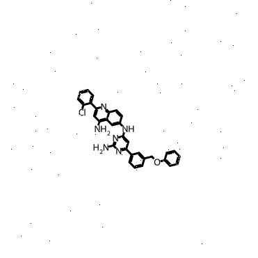 Nc1nc(Nc2ccc3nc(-c4ccccc4Cl)cc(N)c3c2)cc(-c2cccc(COc3ccccc3)c2)n1